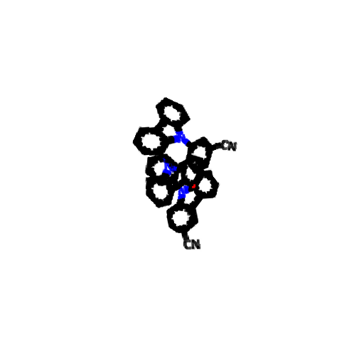 N#Cc1ccc(-c2ccccc2-n2c3ccccc3c3cc(C#N)ccc32)c(-n2c3ccccc3c3cccc(-n4c5ccccc5c5ccccc54)c32)c1